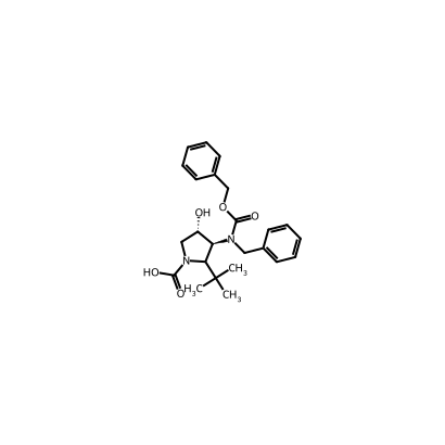 CC(C)(C)C1[C@H](N(Cc2ccccc2)C(=O)OCc2ccccc2)[C@@H](O)CN1C(=O)O